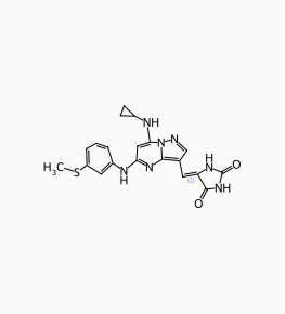 CSc1cccc(Nc2cc(NC3CC3)n3ncc(/C=C4\NC(=O)NC4=O)c3n2)c1